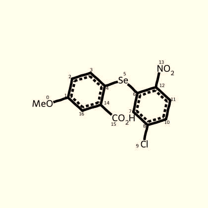 COc1ccc([Se]c2cc(Cl)ccc2[N+](=O)[O-])c(C(=O)O)c1